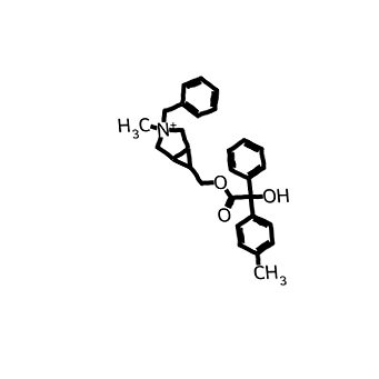 Cc1ccc(C(O)(C(=O)OCC2C3C[N+](C)(Cc4ccccc4)CC23)c2ccccc2)cc1